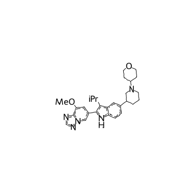 COc1cc(-c2[nH]c3ccc(C4CCCN(C5CCOCC5)C4)cc3c2C(C)C)cn2ncnc12